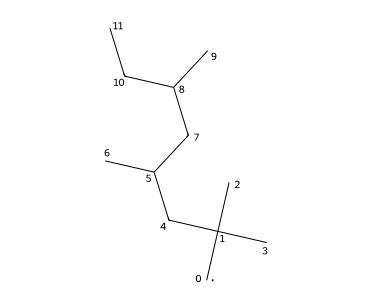 [CH2]C(C)(C)CC(C)CC(C)CC